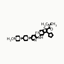 CN1CCN(C2CCN(c3cnc(Nc4cc5c(C6CCCC6)c(C(=O)N(C)C)sc5cn4)c(F)c3)CC2)CC1